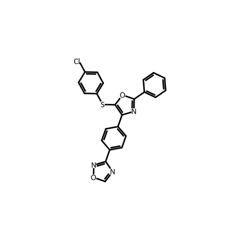 Clc1ccc(Sc2oc(-c3ccccc3)nc2-c2ccc(-c3ncon3)cc2)cc1